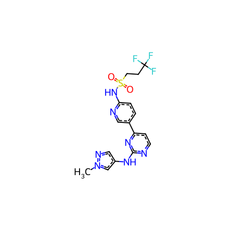 Cn1cc(Nc2nccc(-c3ccc(NS(=O)(=O)CCC(F)(F)F)nc3)n2)cn1